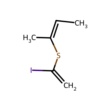 C=C(I)S/C(C)=C\C